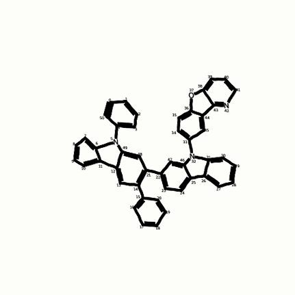 c1cccc(-n2c3ccccc3c3cc(-c4ccccc4)c(-c4ccc5c6ccccc6n(-c6ccc7oc8cccnc8c7c6)c5c4)cc32)c#1